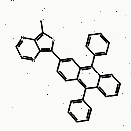 Cc1sc(-c2ccc3c(-c4ccccc4)c4ccccc4c(-c4ccccc4)c3c2)c2nccnc12